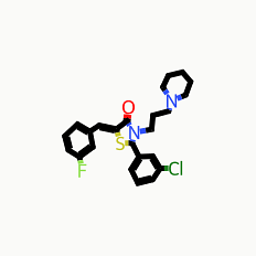 O=C1C(=Cc2cccc(F)c2)SC(c2cccc(Cl)c2)N1CCCN1CCCCC1